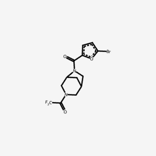 O=C(c1ccc(Br)o1)N1CC2CC1CN(C(=O)C(F)(F)F)C2